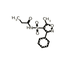 CCC(=O)NS(=O)(=O)c1c(-c2ccccc2)noc1C